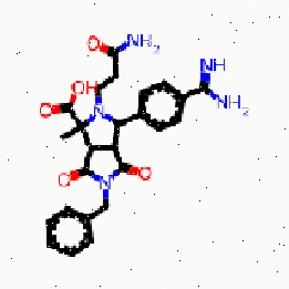 CC1(C(=O)O)C2C(=O)N(Cc3ccccc3)C(=O)C2C(c2ccc(C(=N)N)cc2)N1CCC(N)=O